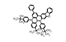 CC(C)(C)c1ccc(N2B3c4cc(C(C)(C)C)ccc4N(c4ccc(C(C)(C)C)cc4)c4cc(-c5ccccc5)cc(c43)-c3cc4c(cc32)oc2ccccc24)cc1